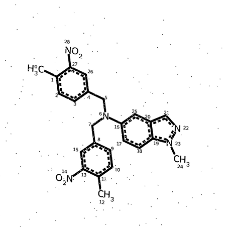 Cc1ccc(CN(Cc2ccc(C)c([N+](=O)[O-])c2)c2ccc3c(cnn3C)c2)cc1[N+](=O)[O-]